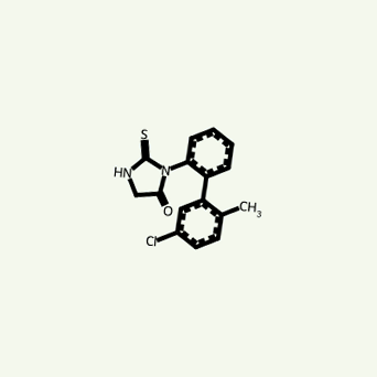 Cc1ccc(Cl)cc1-c1ccccc1N1C(=O)CNC1=S